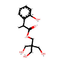 CC(C(=O)OCC(CO)(CO)CO)c1ccccc1O